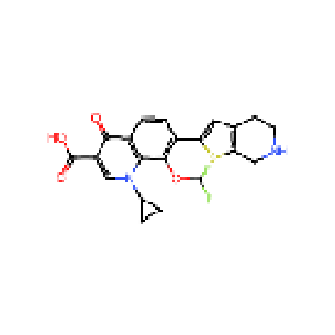 O=C(O)c1cn(C2CC2)c2c(OC(F)F)c(-c3cc4c(s3)CNCC4)ccc2c1=O